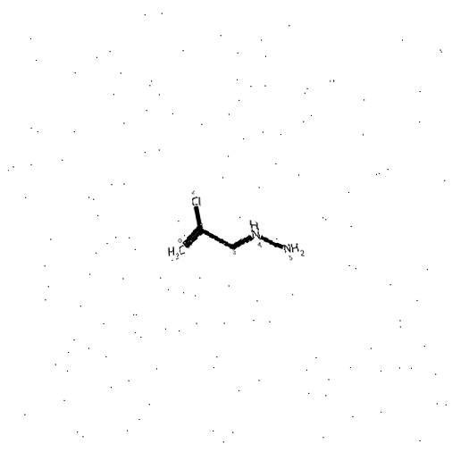 C=C(Cl)CNN